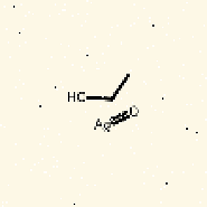 CCO.[O]=[Ag]